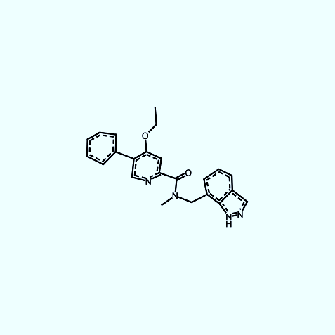 CCOc1cc(C(=O)N(C)Cc2cccc3cn[nH]c23)ncc1-c1ccccc1